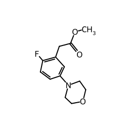 COC(=O)Cc1cc(N2CCOCC2)ccc1F